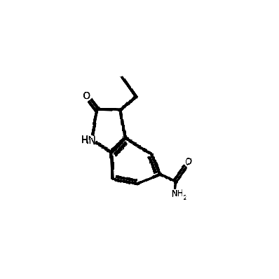 CCC1C(=O)Nc2ccc(C(N)=O)cc21